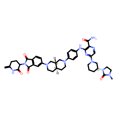 C=C1CCC(N2C(=O)c3ccc(N4CC[C@@H]5CCN(c6ccc(Nc7nc(N8CCC[C@@H](N9CCN(C)C9=O)C8)cnc7C(N)=O)cc6)C[C@H]5C4)cc3C2=O)C(=O)N1